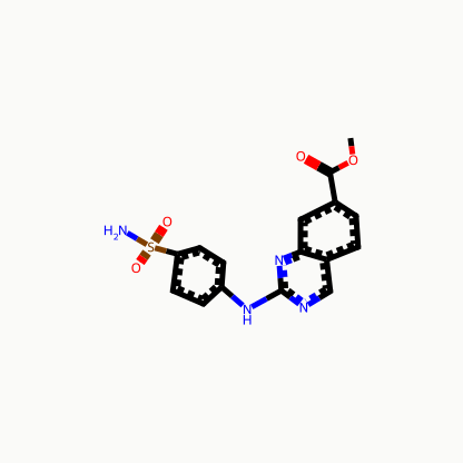 COC(=O)c1ccc2cnc(Nc3ccc(S(N)(=O)=O)cc3)nc2c1